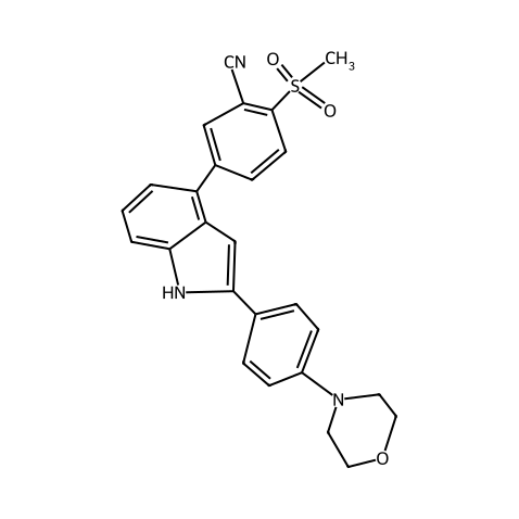 CS(=O)(=O)c1ccc(-c2cccc3[nH]c(-c4ccc(N5CCOCC5)cc4)cc23)cc1C#N